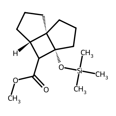 COC(=O)C1[C@@H]2CCC[C@@]23CCC[C@@]13O[Si](C)(C)C